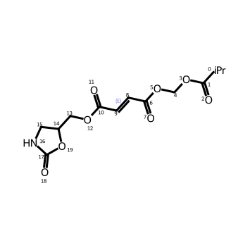 CC(C)C(=O)OCOC(=O)/C=C/C(=O)OCC1CNC(=O)O1